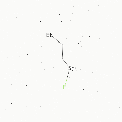 CCC[CH2][Sn][F]